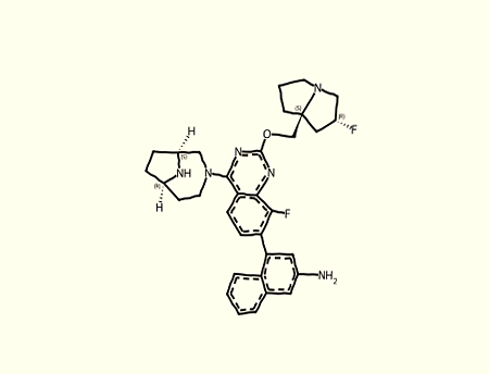 Nc1cc(-c2ccc3c(N4CC[C@H]5CC[C@@H](C4)N5)nc(OC[C@@]45CCCN4C[C@H](F)C5)nc3c2F)c2ccccc2c1